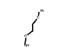 CC[CH]OCCOCCC